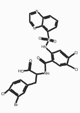 O=C(NC(Cc1ccc(Cl)c(Br)c1)C(=O)O)c1cc(Cl)c(Cl)cc1NS(=O)(=O)c1cccc2nccnc12